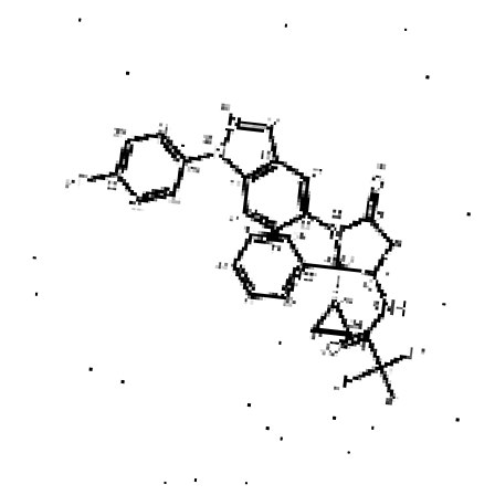 CC(F)(F)C(=O)N[C@@H]1CC(=O)N(c2ccc3c(cnn3-c3ccc(F)cc3)c2)[C@@]1(c1ccccc1)C1CC1